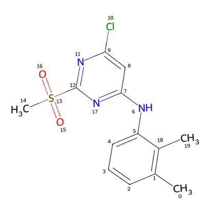 Cc1cccc(Nc2cc(Cl)nc(S(C)(=O)=O)n2)c1C